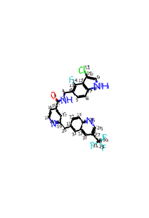 O=C(NCc1ccc2[nH]cc(Cl)c2c1F)c1ccnc(Cc2ccc3ncc(C(F)(F)F)cc3c2)c1